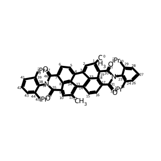 Cc1cc2c3ccc4c5c(cc(C)c(c6ccc7c(c1C(=O)N(c1c(C(C)C)cccc1C(C)C)C7=O)c26)c53)C(=O)N(c1c(C(C)C)cccc1C(C)C)C4=O